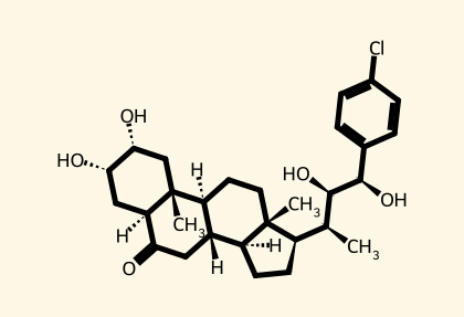 C[C@H]([C@@H](O)[C@H](O)c1ccc(Cl)cc1)[C@H]1CC[C@H]2[C@@H]3CC(=O)[C@H]4C[C@H](O)[C@H](O)C[C@]4(C)[C@H]3CC[C@]12C